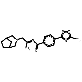 C/C(CN1CC2CCC(C2)C1)=N\C(=O)c1ccc(-c2noc(C(F)(F)F)n2)cc1